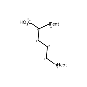 CCCCCCCCCCC(C(=O)O)C(C)CCC